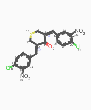 O=C1/C(=C/c2ccc(Cl)c([N+](=O)[O-])c2)CSC/C1=C/c1ccc(Cl)c([N+](=O)[O-])c1